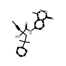 CC#CC(O)(CC(C)(C)c1ccccc1)C(=O)Nc1ccc2c(=O)onc(C)c2c1